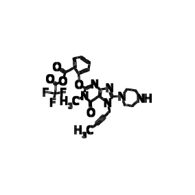 CC#CCn1c(N2CCNCC2)nc2nc(Oc3ccccc3C(=O)OC(=O)C(F)(F)F)n(C)c(=O)c21